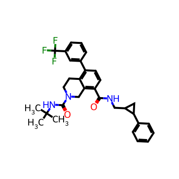 CC(C)(C)NC(=O)N1CCc2c(-c3cccc(C(F)(F)F)c3)ccc(C(=O)NCC3CC3c3ccccc3)c2C1